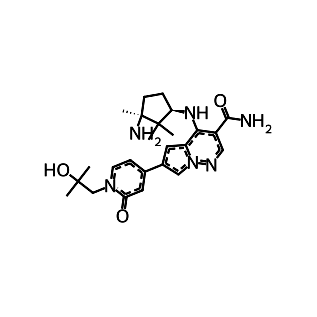 CC(C)(O)Cn1ccc(-c2cc3c(N[C@@H]4CC[C@](C)(N)C4(C)C)c(C(N)=O)cnn3c2)cc1=O